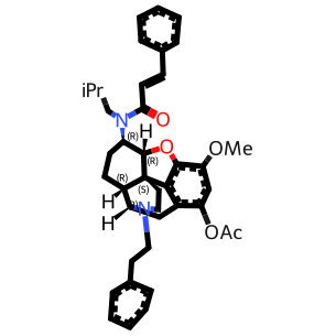 COc1cc(OC(C)=O)c2c3c1O[C@H]1[C@H](N(CC(C)C)C(=O)C=Cc4ccccc4)CC[C@H]4[C@@H](C2)N(CCc2ccccc2)CC[C@@]341